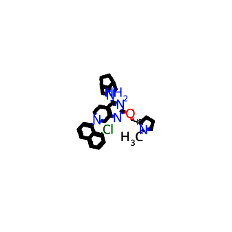 CN1CCC[C@H]1COc1nc2c(c(N3CC4CCC(C3)C4N)n1)CCN(c1cccc3cccc(Cl)c13)C2